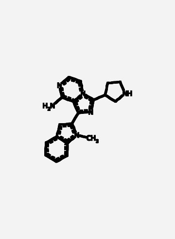 Cn1c(-c2nc(C3CCNC3)n3ccnc(N)c23)cc2ccccc21